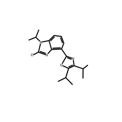 CC(C)c1nc(-c2cccc3c2nc(Cl)n3C(C)C)oc1C(C)C